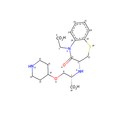 O=C(O)CN1C(=O)[C@@H](N[C@@H](COC2CCNCC2)C(=O)O)CSc2ccccc21